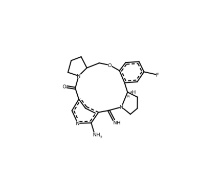 N=C1c2cc(cnc2N)C(=O)N2CCCC2COc2ccc(F)cc2[C@H]2CCCN12